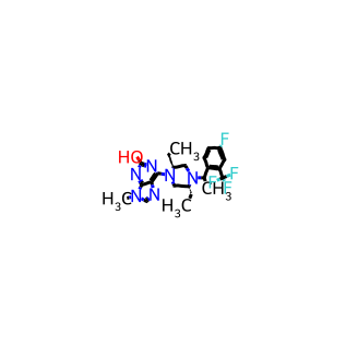 CC[C@H]1CN(C(C)c2ccc(F)cc2C(F)(F)F)[C@H](CC)CN1c1nc(O)nc2c1ncn2C